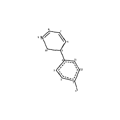 Cc1ccc(C2C=CC=NC2)cc1